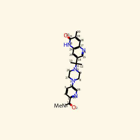 CNC(=O)c1ccc(N2CCN(C(C)(C)c3cnc4cc(C)c(=O)[nH]c4c3)CC2)cn1